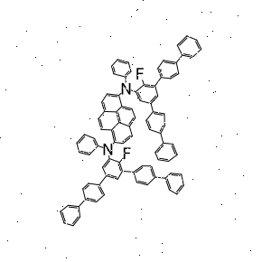 Fc1c(-c2ccc(-c3ccccc3)cc2)cc(-c2ccc(-c3ccccc3)cc2)cc1N(c1ccccc1)c1ccc2ccc3c(N(c4ccccc4)c4cc(-c5ccc(-c6ccccc6)cc5)cc(-c5ccc(-c6ccccc6)cc5)c4F)ccc4ccc1c2c43